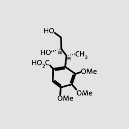 COc1cc(C(=O)O)c([C@@H](C)[C@H](O)CO)c(OC)c1OC